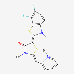 CCn1c(=O)/c(=C2\Sc3c(ccc(F)c3F)N2C)s/c1=C\c1cccc[n+]1CC